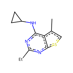 CCc1nc(NC2CC2)c2c(C)csc2n1